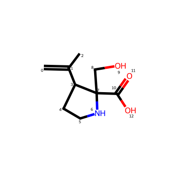 C=C(C)C1CCNC1(CO)C(=O)O